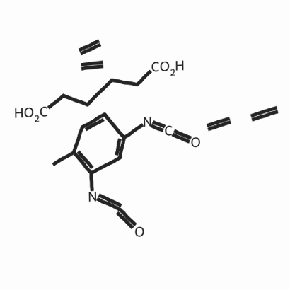 C=C.C=C.C=C.C=C.Cc1ccc(N=C=O)cc1N=C=O.O=C(O)CCCCC(=O)O